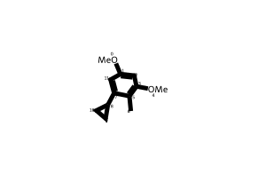 COc1cc(OC)c(C)c(C2CC2)c1